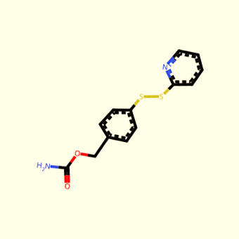 NC(=O)OCc1ccc(SSc2ccccn2)cc1